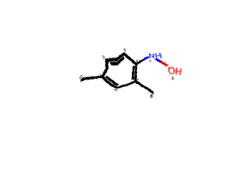 Cc1ccc(NO)c(C)c1